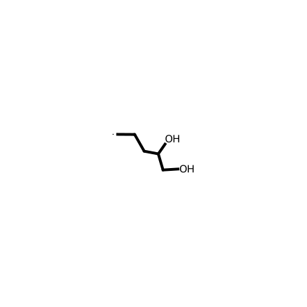 [CH2]CCC(O)CO